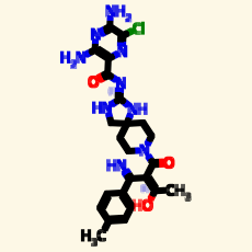 C/C(O)=C(/C(=N)c1ccc(C)cc1)C(=O)N1CCC2(CC1)CN/C(=N\C(=O)c1nc(Cl)c(N)nc1N)N2